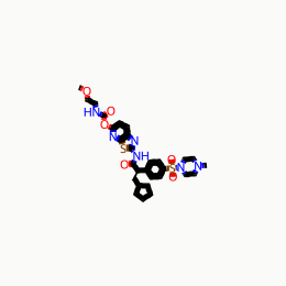 COCCNC(=O)Oc1ccc2nc(NC(=O)[C@H](CC3CCCC3)c3ccc(S(=O)(=O)N4CCN(C)CC4)cc3)sc2n1